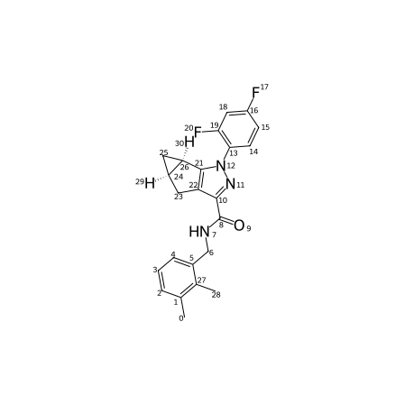 Cc1cccc(CNC(=O)c2nn(-c3ccc(F)cc3F)c3c2C[C@H]2C[C@@H]32)c1C